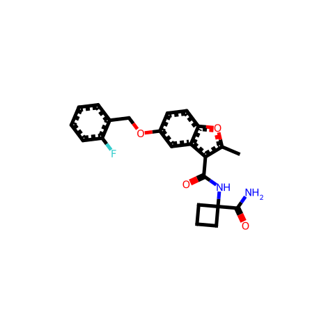 Cc1oc2ccc(OCc3ccccc3F)cc2c1C(=O)NC1(C(N)=O)CCC1